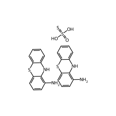 Nc1cccc2c1Nc1ccccc1S2.Nc1cccc2c1Nc1ccccc1S2.O=S(O)(O)=S